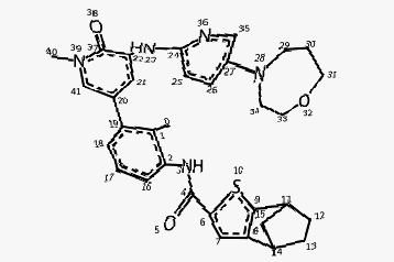 Cc1c(NC(=O)c2cc3c(s2)C2CCC3C2)cccc1-c1cc(Nc2ccc(N3CCCOCC3)cn2)c(=O)n(C)c1